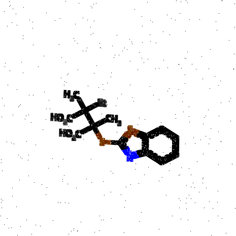 CCC(C)(C(=O)O)C(C)(Sc1nc2ccccc2s1)C(=O)O